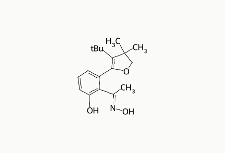 C/C(=N\O)c1c(O)cccc1C1=C(C(C)(C)C)C(C)(C)CO1